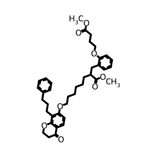 COC(=O)CCCOc1ccccc1CC(CCCCCCOc1ccc2c(c1CCCc1ccccc1)OCCC2=O)C(=O)OC